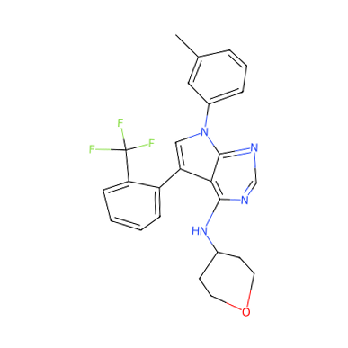 Cc1cccc(-n2cc(-c3ccccc3C(F)(F)F)c3c(NC4CCOCC4)ncnc32)c1